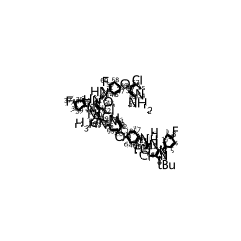 CC(C)(C)c1nn(-c2ccc(F)cc2)c(NC(=O)Nc2ccc(Oc3ccnc(NC(C)(C)c4nn(-c5ccc(F)cc5)c(NC(=O)Nc5ccc(Oc6cc(N)ncc6Cl)cc5F)c4Cl)c3)cc2F)c1Cl